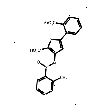 CCOC(=O)c1ccccc1-c1cc(N[S+]([O-])c2ccccc2C)c(C(=O)O)s1